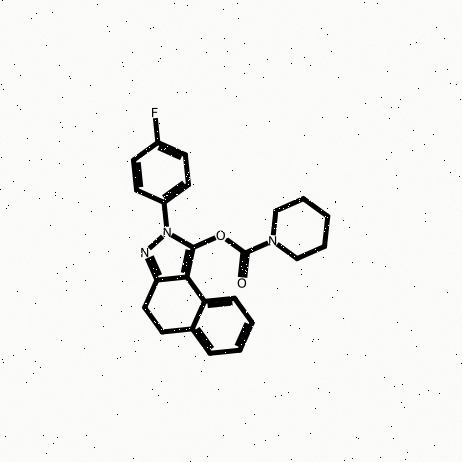 O=C(Oc1c2c(nn1-c1ccc(F)cc1)CCc1ccccc1-2)N1CCCCC1